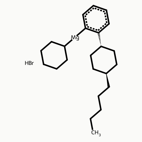 Br.CCCCC[C@H]1CC[C@H](c2cccc[c]2[Mg][CH]2CCCCC2)CC1